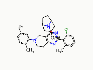 COC1CC2CCC(C1)N2c1nc(-c2c(C)cccc2Cl)nc2c1CN(c1cc(C(C)C)ccc1C)CC2